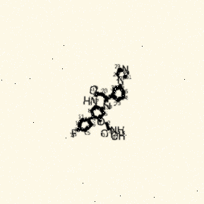 O=C(COc1cc2c(cc1-c1ccc(F)cc1)NC(=O)CC(c1cccc(-n3ccnc3)c1)=N2)NO